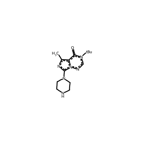 Cc1nc(N2CCNCC2)n2ncn(C(C)(C)C)c(=O)c12